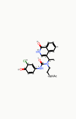 CC(=O)NCCN(C(=O)NC1=CC(Cl)C(=O)C=C1)C(C)c1c[nH]c(=O)c2ccccc12